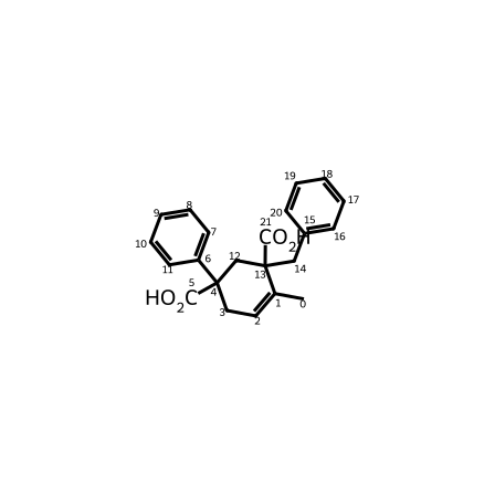 CC1=CCC(C(=O)O)(c2ccccc2)CC1(Cc1ccccc1)C(=O)O